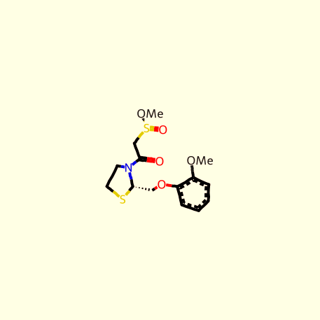 COc1ccccc1OC[C@@H]1SCCN1C(=O)C[S@@](=O)OC